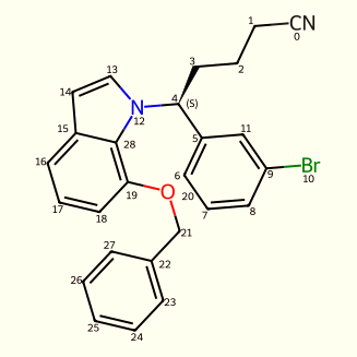 N#CCCC[C@@H](c1cccc(Br)c1)n1ccc2cccc(OCc3ccccc3)c21